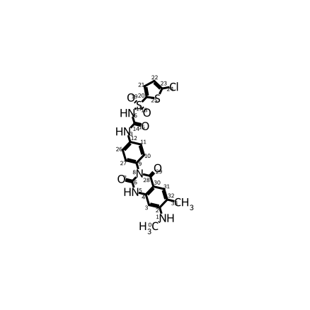 CNc1cc2[nH]c(=O)n(-c3ccc(NC(=O)NS(=O)(=O)c4ccc(Cl)s4)cc3)c(=O)c2cc1C